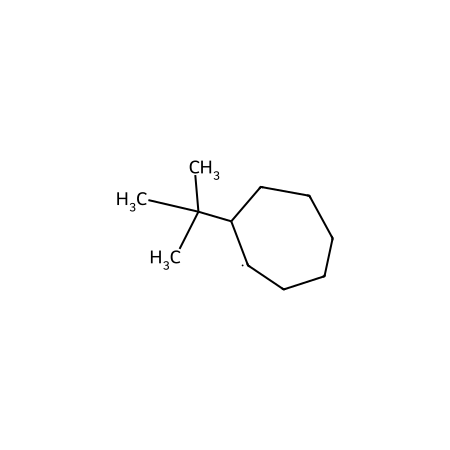 CC(C)(C)C1[CH]CCCCC1